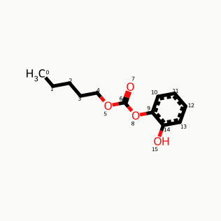 CCCCCOC(=O)Oc1ccccc1O